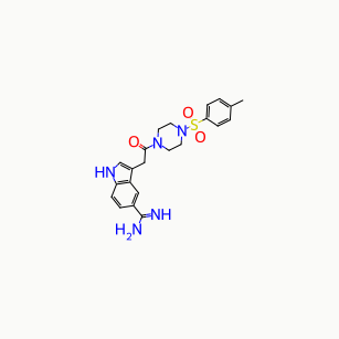 Cc1ccc(S(=O)(=O)N2CCN(C(=O)Cc3c[nH]c4ccc(C(=N)N)cc34)CC2)cc1